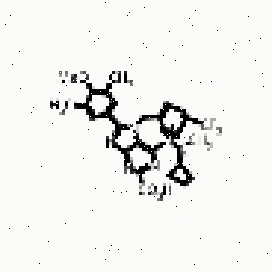 COc1c(C)cc(-c2nc3nc(C(=O)O)nc(N[C@H](C)C4CCC4)c3n2Cc2ccc(C(F)(F)F)cc2)cc1C